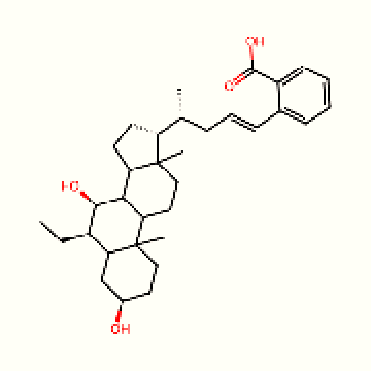 CC[C@@H]1C2C[C@H](O)CCC2(C)C2CCC3(C)C(CC[C@@H]3[C@H](C)C/C=C/c3ccccc3C(=O)O)C2[C@@H]1O